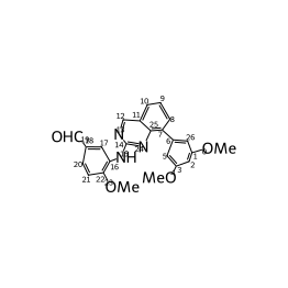 COc1cc(OC)cc(-c2cccc3cnc(Nc4cc(C=O)ccc4OC)nc23)c1